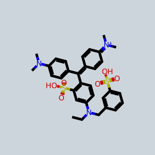 CCN(Cc1cccc(S(=O)(=O)O)c1)c1ccc(C(=C2C=CC(=[N+](C)C)C=C2)c2ccc(N(C)C)cc2)c(S(=O)(=O)O)c1